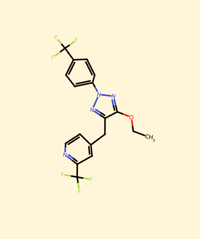 CCOc1nn(-c2ccc(C(F)(F)F)cc2)nc1Cc1ccnc(C(F)(F)F)c1